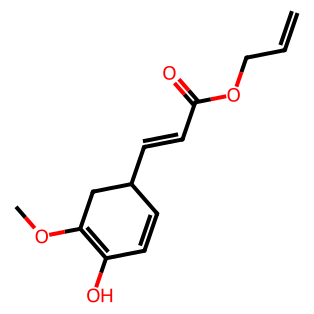 C=CCOC(=O)C=CC1C=CC(O)=C(OC)C1